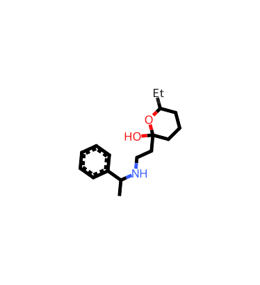 CCC1CCCC(O)(CCNC(C)c2ccccc2)O1